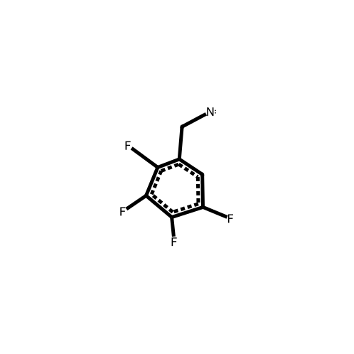 [N]Cc1cc(F)c(F)c(F)c1F